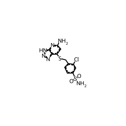 Nc1cc(SCc2ccc(S(N)(=O)=O)cc2Cl)c2nn[nH]c2n1